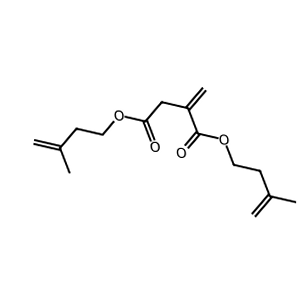 C=C(C)CCOC(=O)CC(=C)C(=O)OCCC(=C)C